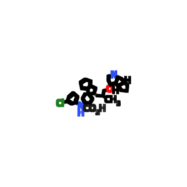 C[C@@H](COc1ccnc2c1[C@@H]1CCC[C@@H]1C2)C[C@H]1Cc2ccccc2C12CCC(Nc1cccc(Cl)c1)(C(=O)O)CC2